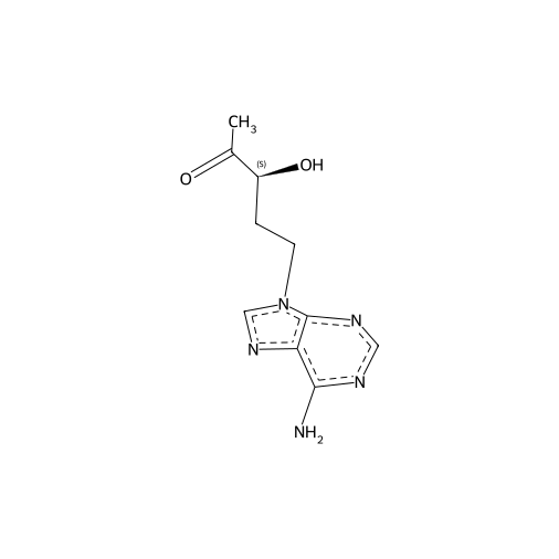 CC(=O)[C@@H](O)CCn1cnc2c(N)ncnc21